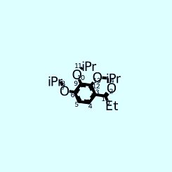 CCC(=O)c1ccc(OC(C)C)c(OC(C)C)c1OC(C)C